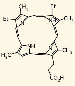 CCC1=C(C)c2cc3[nH]c(cc4nc(cc5cc(C)c(cc1n2)[nH]5)C(CCC(=O)O)=C4C)c(C)c3CC